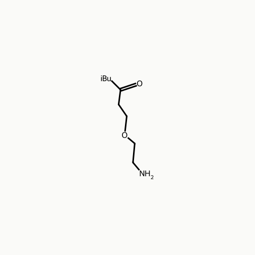 CCC(C)C(=O)CCOCCN